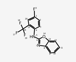 Fc1ccc(Nc2nc3ccccc3o2)c(C(F)(F)F)c1